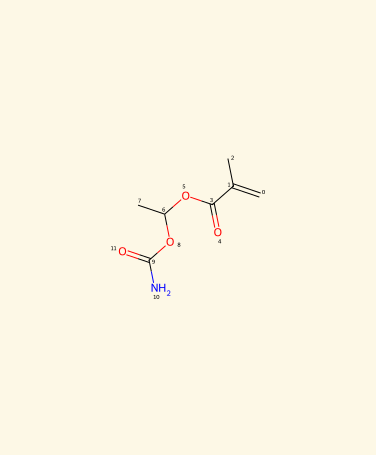 C=C(C)C(=O)OC(C)OC(N)=O